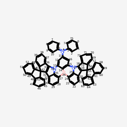 c1ccc(N(c2ccccc2)c2cc3c4c(c2)-n2c5c(c6cccc(c62)B4c2cccc4c6c(n-3c24)-c2ccccc2C62c3ccccc3-c3ccccc32)C2(c3ccccc3-c3ccccc32)c2ccccc2-5)cc1